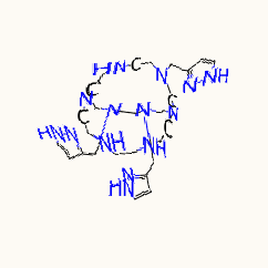 c1cc(CN2CCNCCN3CCNCCNCCN(CC2)CCN(Cc2cc[nH]n2)CCN(Cc2cc[nH]n2)CC3)n[nH]1